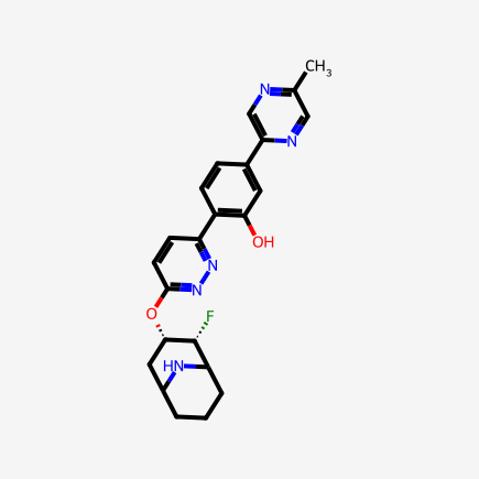 Cc1cnc(-c2ccc(-c3ccc(O[C@H]4CC5CCCC(N5)[C@H]4F)nn3)c(O)c2)cn1